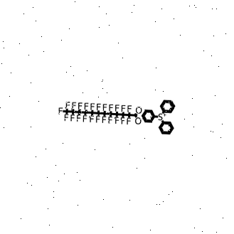 O=C([O-])C(F)(F)C(F)(F)C(F)(F)C(F)(F)C(F)(F)C(F)(F)C(F)(F)C(F)(F)C(F)(F)C(F)(F)C(F)(F)F.c1ccc([S+](c2ccccc2)c2ccccc2)cc1